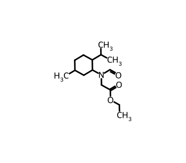 CCOC(=O)CN(C=O)C1CC(C)CCC1C(C)C